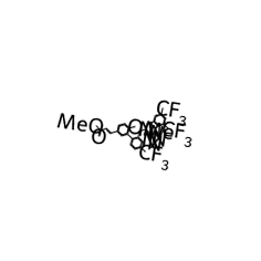 COC(=O)/C=C/c1ccc(OC)c(-c2ccc(C(F)(F)F)cc2CN(Cc2cc(C(F)(F)F)cc(C(F)(F)F)c2)c2nnn(C)n2)c1